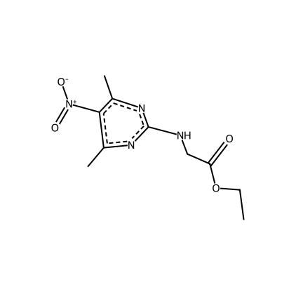 CCOC(=O)CNc1nc(C)c([N+](=O)[O-])c(C)n1